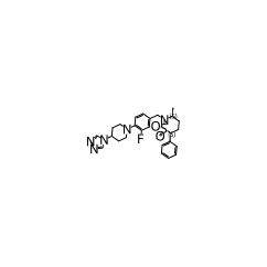 C[C@H]1CC[C@@H](c2ccccc2)S(=O)(=O)N1Cc1ccc(N2CCC(n3cnnc3)CC2)c(F)c1